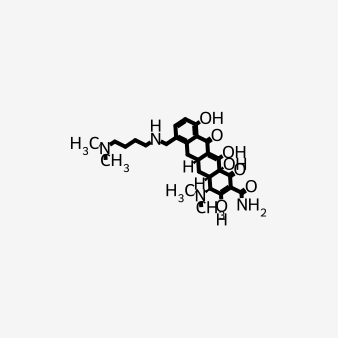 CN(C)CCCCNCc1ccc(O)c2c1C[C@H]1C[C@H]3[C@H](N(C)C)C(O)=C(C(N)=O)C(=O)[C@@]3(O)C(O)=C1C2=O